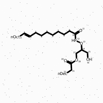 CCCCCCCCC=CCCCCCCCC(=O)POC(CO)COC(=O)CCCCCCCCCCC